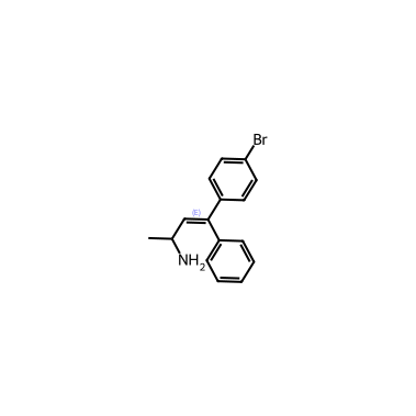 CC(N)/C=C(\c1ccccc1)c1ccc(Br)cc1